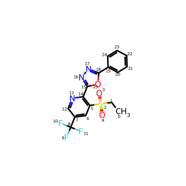 CCS(=O)(=O)c1cc(C(F)(F)F)cnc1-c1nnc(-c2ccccc2)o1